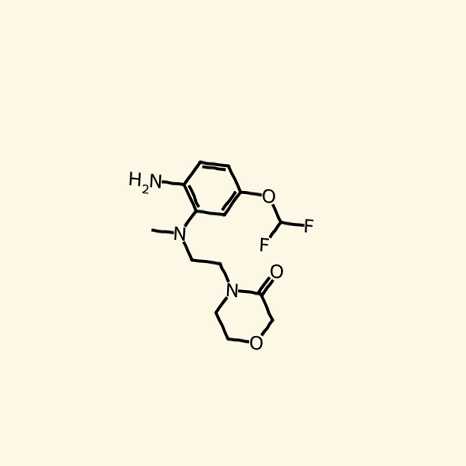 CN(CCN1CCOCC1=O)c1cc(OC(F)F)ccc1N